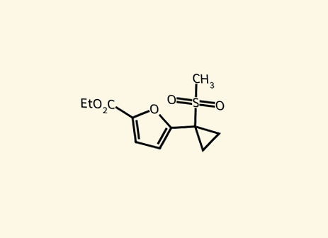 CCOC(=O)c1ccc(C2(S(C)(=O)=O)CC2)o1